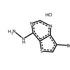 Cl.NNc1ncnc2c(Br)csc12